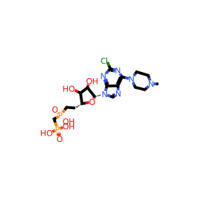 CN1CCN(c2nc(Cl)nc3c2ncn3[C@@H]2O[C@H](CCP(=O)(O)CP(=O)(O)O)C(O)C2O)CC1